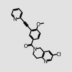 COc1ccc(C(=O)N2CCc3ncc(Cl)cc3C2)cc1C#Cc1ccccn1